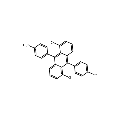 CCc1ccc(-c2c3cccc(Cl)c3c(-c3ccc(C)cc3)c3cccc(Cl)c23)cc1